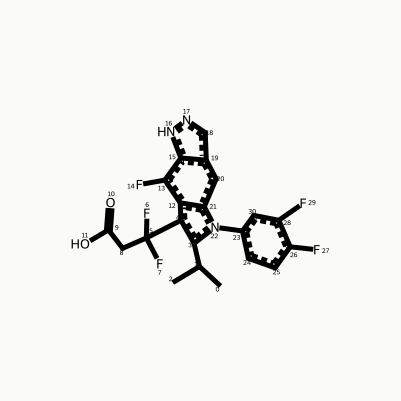 CC(C)c1c(C(F)(F)CC(=O)O)c2c(F)c3[nH]ncc3cc2n1-c1ccc(F)c(F)c1